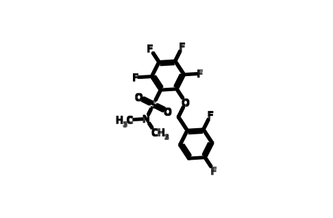 CN(C)S(=O)(=O)c1c(F)c(F)c(F)c(F)c1OCc1ccc(F)cc1F